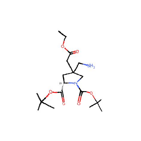 CCOC(=O)CC1(CN)C[C@@H](C(=O)OC(C)(C)C)N(C(=O)OC(C)(C)C)C1